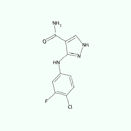 NC(=O)c1c[nH]nc1Nc1ccc(Cl)c(F)c1